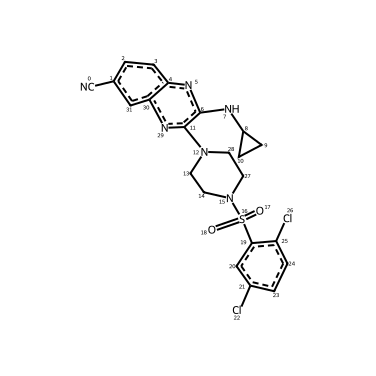 N#Cc1ccc2nc(NC3CC3)c(N3CCN(S(=O)(=O)c4cc(Cl)ccc4Cl)CC3)nc2c1